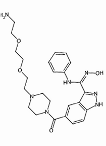 NCCOCCOCCN1CCN(C(=O)c2ccc3[nH]nc(/C(=N\O)Nc4ccccc4)c3c2)CC1